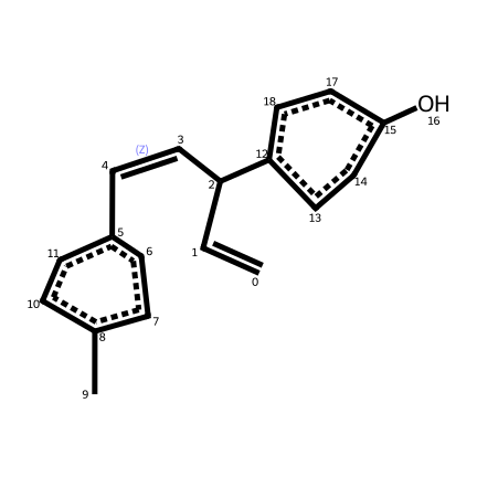 C=CC(/C=C\c1ccc(C)cc1)c1ccc(O)cc1